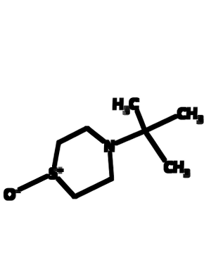 CC(C)(C)N1CC[S+]([O-])CC1